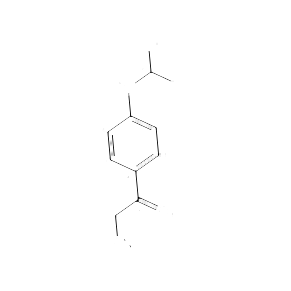 N#CCC(=O)c1ccc(OC(F)F)cc1